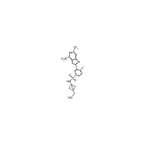 Cc1ccc(S(=O)(=O)NC23CC(CO)(C2)C3)cc1-c1cn2c(N)nc(C(F)(F)F)nc2n1